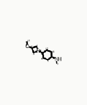 CNC1CCC(N2CC(OC)C2)CC1